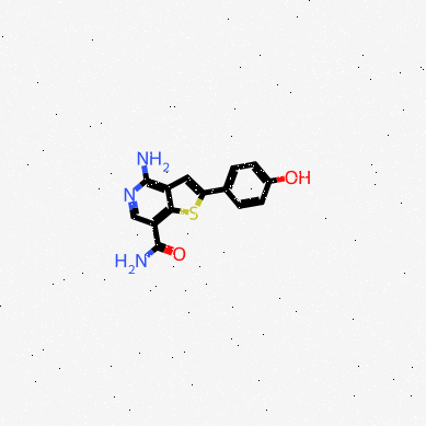 NC(=O)c1cnc(N)c2cc(-c3ccc(O)cc3)sc12